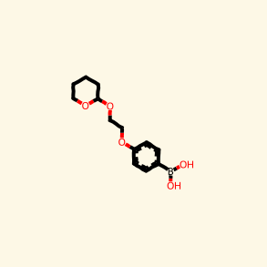 OB(O)c1ccc(OCCOC2CCCCO2)cc1